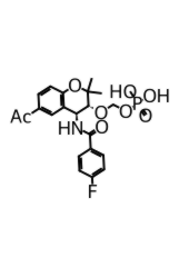 CC(=O)c1ccc2c(c1)[C@H](NC(=O)c1ccc(F)cc1)[C@@H](OCOP(=O)(O)O)C(C)(C)O2